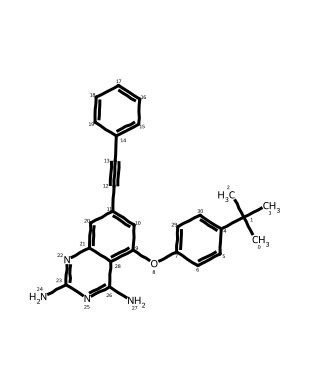 CC(C)(C)c1ccc(Oc2cc(C#Cc3ccccc3)cc3nc(N)nc(N)c23)cc1